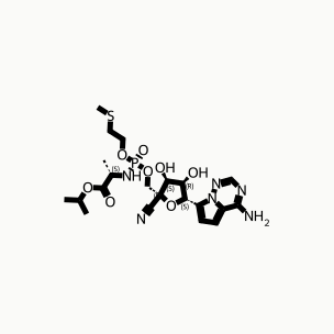 CSCCOP(=O)(N[C@@H](C)C(=O)OC(C)C)OC[C@@]1(C#N)O[C@@H](c2ccc3c(N)ncnn23)[C@H](O)[C@@H]1O